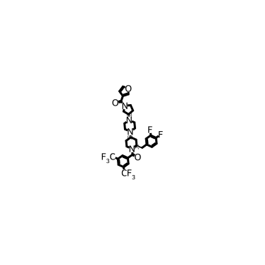 O=C(c1ccoc1)N1CC[C@H](N2CCN([C@H]3CCN(C(=O)c4cc(C(F)(F)F)cc(C(F)(F)F)c4)[C@H](Cc4ccc(F)c(F)c4)C3)CC2)C1